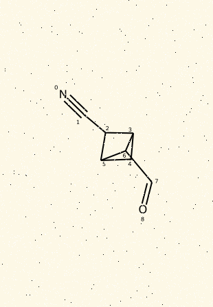 N#CC1C2CC1C2C=O